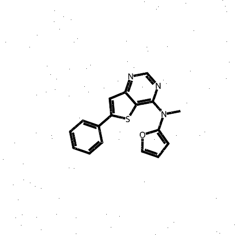 CN(c1ccco1)c1ncnc2cc(-c3ccccc3)sc12